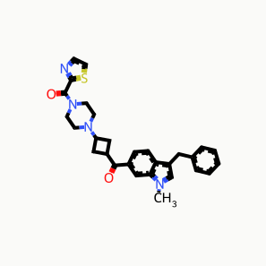 Cn1cc(Cc2ccccc2)c2ccc(C(=O)C3CC(N4CCN(C(=O)c5nccs5)CC4)C3)cc21